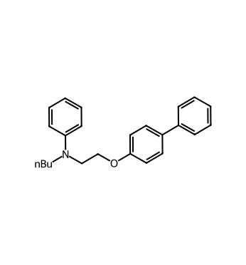 CCCCN(CCOc1ccc(-c2ccccc2)cc1)c1ccccc1